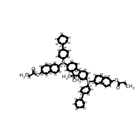 C=CC(=O)Oc1ccc2cc(N(c3ccc(-c4ccccc4)cc3)c3ccc4c(c3)C(C)(C)c3cc(N(c5ccc(-c6ccccc6)cc5)c5ccc6cc(OC(=O)C=C)ccc6c5)ccc3-4)ccc2c1